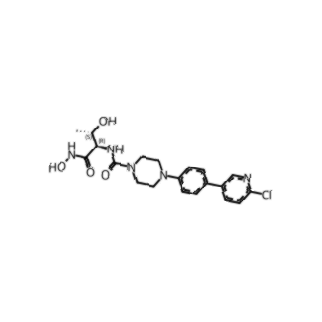 C[C@H](O)[C@@H](NC(=O)N1CCN(c2ccc(-c3ccc(Cl)nc3)cc2)CC1)C(=O)NO